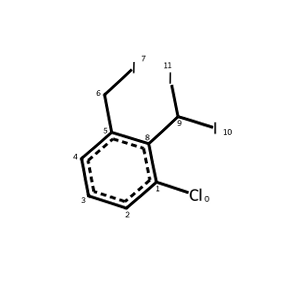 Clc1cccc(CI)c1C(I)I